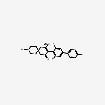 CC(=O)OC1=C(c2c(C)cc(-c3ccc(F)cc3)cc2C)C(=O)CC2(CCN(C(C)=O)CC2)C1